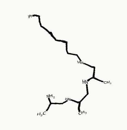 CC(C)CCCCCCCNCC(C)NCC(C)NCC(C)N